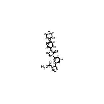 CC(C)n1cnnc1-c1cccc(N2CCN(c3ccc(N4CCOCC4)nc3)C2=O)n1